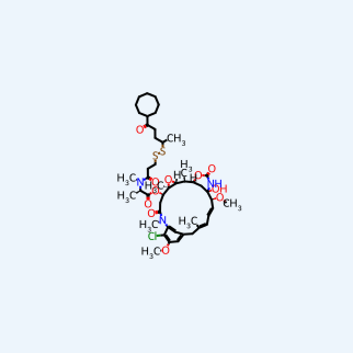 COc1cc2cc(c1Cl)N(C)C(=O)C[C@@H](OC(=O)[C@@H](C)N(C)C(=O)CCSSC(C)CCC(=O)C1CCCCCCC1)[C@@]1(C)O[C@@H]1[C@@H](C)[C@H]1C[C@](O)(NC(=O)O1)[C@@H](OC)/C=C/C=C(\C)C2